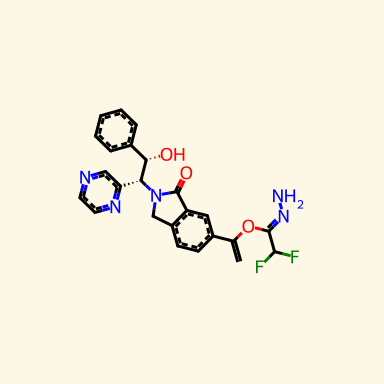 C=C(O/C(=N\N)C(F)F)c1ccc2c(c1)C(=O)N([C@H](c1cnccn1)[C@@H](O)c1ccccc1)C2